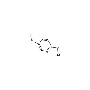 CCOc1ccc(OCC)nn1